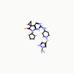 Cn1cc(SN2CCC(Nc3ncc4c(n3)N(C3CCCC3)C(=O)C43CC3)CC2)cn1